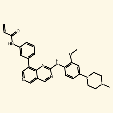 C=CC(=O)Nc1cccc(-c2cncc3cnc(Nc4ccc(N5CCN(C)CC5)cc4OC)nc23)c1